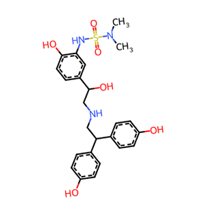 CN(C)S(=O)(=O)Nc1cc(C(O)CNCC(c2ccc(O)cc2)c2ccc(O)cc2)ccc1O